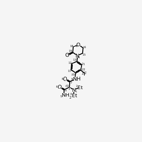 CCN(CC)[C@@H](C(N)=O)C(=O)Nc1ccc(N2CCOCC2=O)cc1F